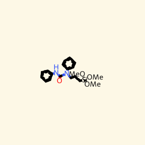 CO[Si](CCCN(C(=O)Nc1ccccc1)c1ccccc1)(OC)OC